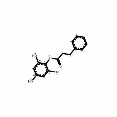 O=C(CCc1ccccc1)Oc1c(O)cc(O)cc1O